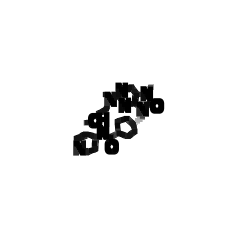 COCCN(C)c1ncc2c(n1)n(C[C@H]1CC[C@H](C(=O)Nc3ccncc3)CC1)c(=O)n2C